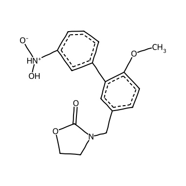 COc1ccc(CN2CCOC2=O)cc1-c1cccc([NH+]([O-])O)c1